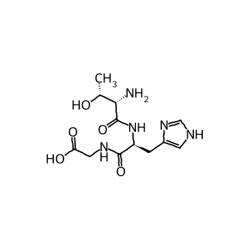 C[C@@H](O)[C@H](N)C(=O)N[C@@H](Cc1c[nH]cn1)C(=O)NCC(=O)O